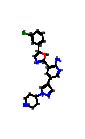 Nc1ncc(-c2cnn(C3CCNCC3)c2)cc1-c1ncc(-c2cccc(Cl)c2)o1